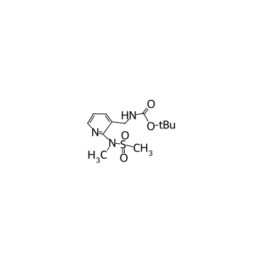 CN(c1ncccc1CNC(=O)OC(C)(C)C)S(C)(=O)=O